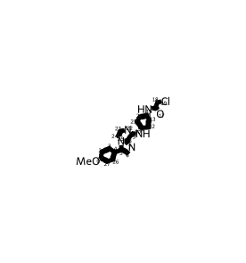 COc1ccc(-c2cnc3c(Nc4ccc(NC(=O)CCl)cc4)nccn23)cc1